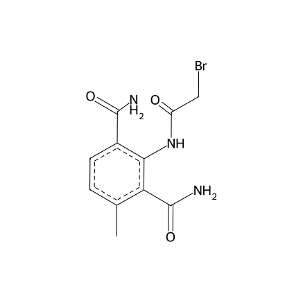 Cc1ccc(C(N)=O)c(NC(=O)CBr)c1C(N)=O